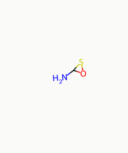 NC1OS1